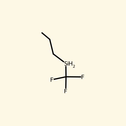 CCC[SiH2]C(F)(F)F